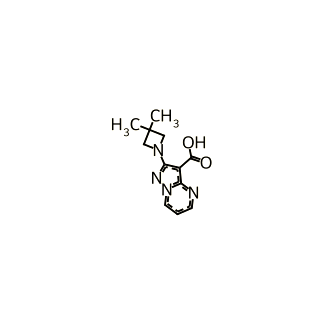 CC1(C)CN(c2nn3cccnc3c2C(=O)O)C1